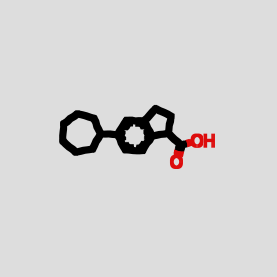 O=C(O)C1CCc2cc(C3CCCCCC3)ccc21